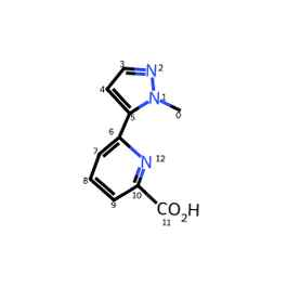 Cn1nccc1-c1cccc(C(=O)O)n1